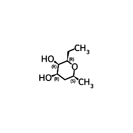 CC[C@H]1O[C@@H](C)C[C@@H](O)[C@H]1O